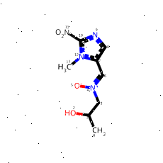 CC(O)C[N+]([O-])=Cc1cnc([N+](=O)[O-])n1C